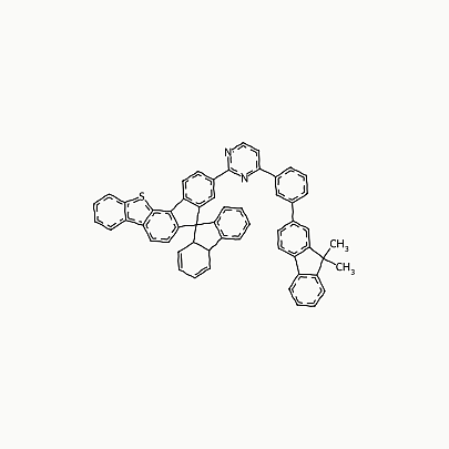 CC1(C)c2ccccc2-c2ccc(-c3cccc(-c4ccnc(-c5ccc6c(c5)C5(c7ccccc7C7C=CC=CC75)c5ccc7c(sc8ccccc87)c5-6)n4)c3)cc21